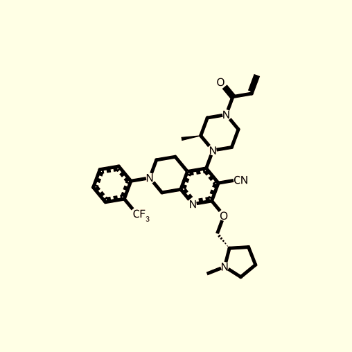 C=CC(=O)N1CCN(c2c(C#N)c(OC[C@@H]3CCCN3C)nc3c2CCN(c2ccccc2C(F)(F)F)C3)[C@@H](C)C1